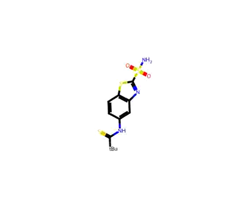 CC(C)(C)C(=S)Nc1ccc2sc(S(N)(=O)=O)nc2c1